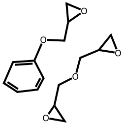 C(OCC1CO1)C1CO1.c1ccc(OCC2CO2)cc1